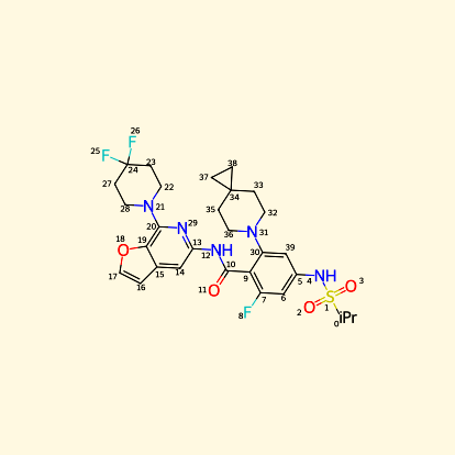 CC(C)S(=O)(=O)Nc1cc(F)c(C(=O)Nc2cc3ccoc3c(N3CCC(F)(F)CC3)n2)c(N2CCC3(CC2)CC3)c1